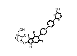 OC[C@H]1OC[C@@H](Oc2nc3c(F)c(-c4ccc(-c5ccc(-c6nccc(O)n6)cc5)cc4)c(F)cc3[nH]2)C1O